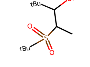 CC(C(O)C(C)(C)C)S(=O)(=O)C(C)(C)C